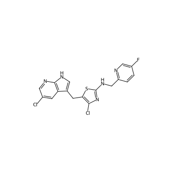 Fc1ccc(CNc2nc(Cl)c(Cc3c[nH]c4ncc(Cl)cc34)s2)nc1